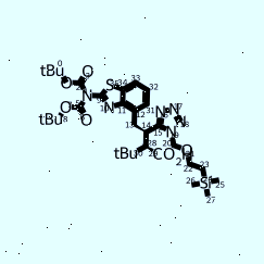 CC(C)(C)OC(=O)N(C(=O)OC(C)(C)C)c1nc2c(C[C@@H](c3nnnn3COCC[Si](C)(C)C)[C@@H](C(=O)O)C(C)(C)C)cccc2s1